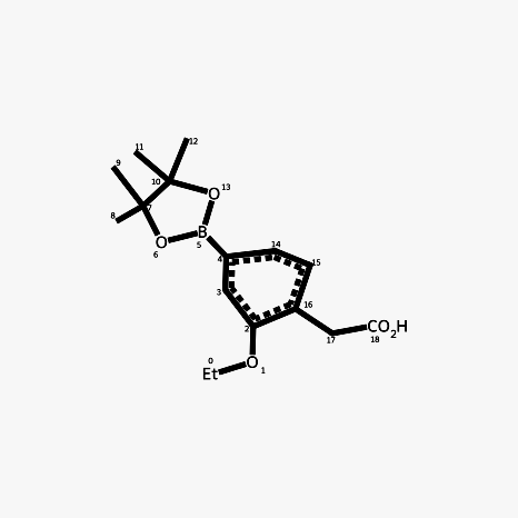 CCOc1cc(B2OC(C)(C)C(C)(C)O2)ccc1CC(=O)O